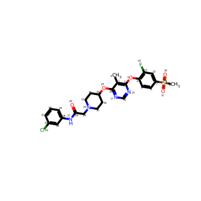 Cc1c(Oc2ccc(S(C)(=O)=O)cc2F)ncnc1OC1CCN(CC(=O)Nc2cccc(Cl)c2)CC1